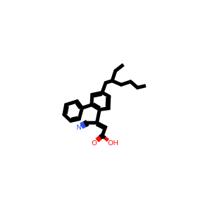 CCCCC(CC)Cc1ccc(C(C#N)=CC(=O)O)c(-c2ccccc2)c1